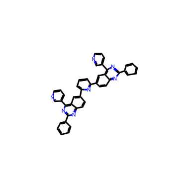 c1ccc(-c2nc(-c3cccnc3)c3cc(-c4cccc(-c5ccc6nc(-c7ccccc7)nc(-c7cccnc7)c6c5)n4)ccc3n2)cc1